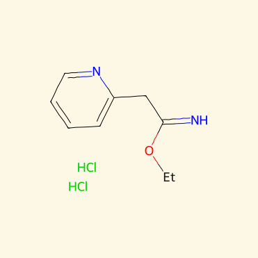 CCOC(=N)Cc1ccccn1.Cl.Cl